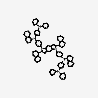 c1ccc(N(c2ccccc2)c2ccc(N(c3ccc(-n4c(-c5cccc6ccccc56)cc5cc6c(cc(-c7cccc8ccccc78)n6-c6ccc(N(c7ccc(N(c8ccccc8)c8ccccc8)cc7)c7cccc8ccccc78)cc6)cc54)cc3)c3cccc4ccccc34)cc2)cc1